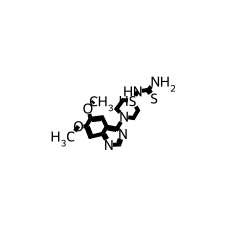 COc1cc2ncnc(N3CC[SH](NC(N)=S)CC3)c2cc1OC